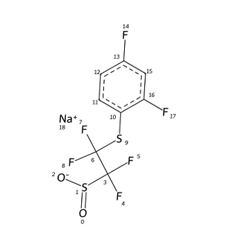 O=S([O-])C(F)(F)C(F)(F)Sc1ccc(F)cc1F.[Na+]